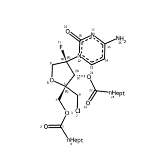 CCCCCCCC(=O)OC[C@@]1(CCl)OC[C@](F)(n2ccc(N)nc2=O)[C@@H]1OC(=O)CCCCCCC